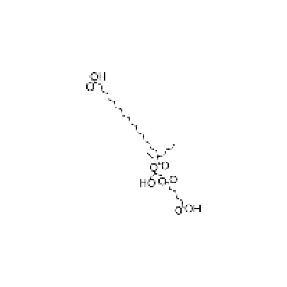 CCCCC(CC)(CCCCCCCCCCCCCCCCCC(=O)O)C(=O)OC(CO)COC(=O)CCCCC(=O)O